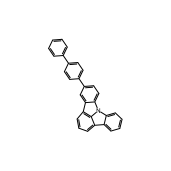 c1ccc(-c2ccc(-c3ccc4c(c3)c3cccc5c6ccccc6n4c53)cc2)cc1